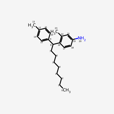 CCCCCCCCC(c1ccc(C)cc1)c1ccc(N)cc1C